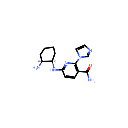 NC(=O)c1ccc(N[C@@H]2CCCC[C@@H]2N)nc1-n1ccnc1